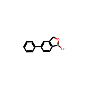 OB1OCc2cc(-c3ccccc3)ccc21